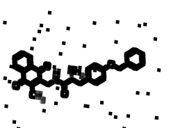 CC1=C(CNC(=O)[C@H](N)Cc2ccc(OCc3ccccc3)cc2)C(=O)c2ccccc2C1=O